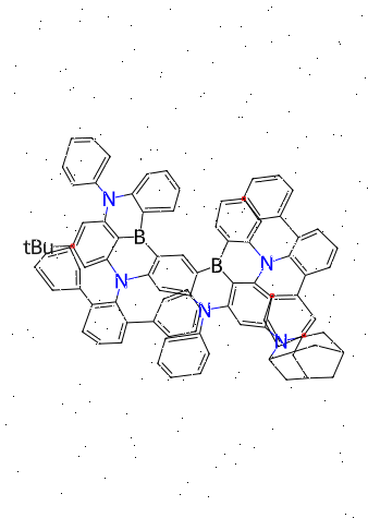 CC(C)(C)c1cc2c3c(c1)N(c1c(-c4ccccc4)cccc1-c1ccccc1)c1cc4c(cc1B3c1ccccc1N2c1ccccc1)B1c2ccccc2N(c2c(-c3ccccc3)cccc2-c2ccccc2)c2cc(N3C5CC6CC(C5)CC3C6)cc(c21)N4c1ccccc1